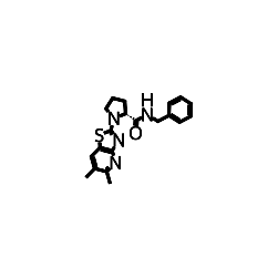 Cc1cc2sc(N3CCC[C@@H]3C(=O)NCc3ccccc3)nc2nc1C